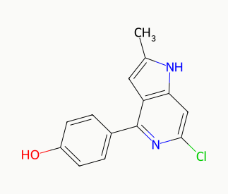 Cc1cc2c(-c3ccc(O)cc3)nc(Cl)cc2[nH]1